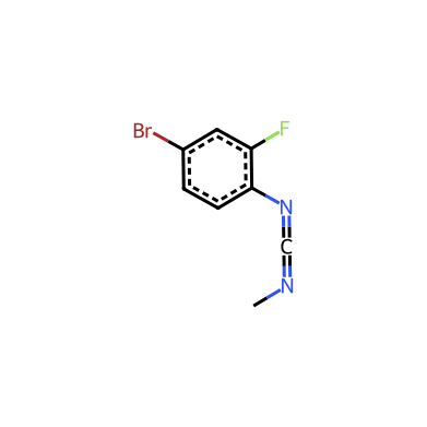 CN=C=Nc1ccc(Br)cc1F